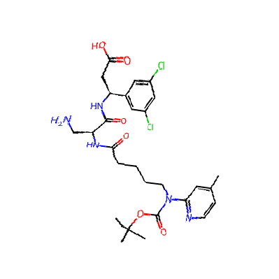 Cc1ccnc(N(CCCCC(=O)N[C@@H](CN)C(=O)N[C@@H](CC(=O)O)c2cc(Cl)cc(Cl)c2)C(=O)OC(C)(C)C)c1